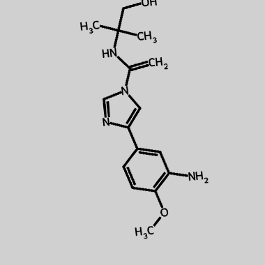 C=C(NC(C)(C)CO)n1cnc(-c2ccc(OC)c(N)c2)c1